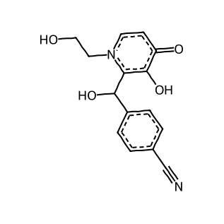 N#Cc1ccc(C(O)c2c(O)c(=O)ccn2CCO)cc1